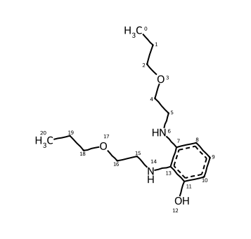 CCCOCCNc1cccc(O)c1NCCOCCC